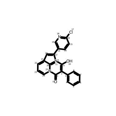 O=c1c(-c2ccccc2)c(O)[n+]2c(-c3ccc(Cl)nc3)cc3cccn1c32